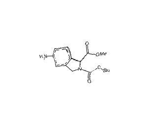 COC(=O)C1c2ccc(N)cc2CN1C(=O)OC(C)(C)C